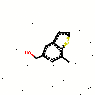 Cc1cc(CO)cc2ccsc12